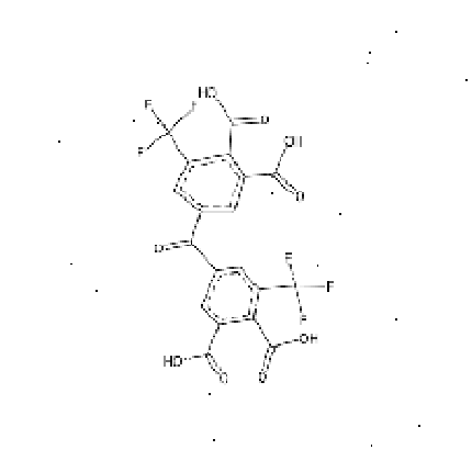 O=C(c1cc(C(=O)O)c(C(=O)O)c(C(F)(F)F)c1)c1cc(C(=O)O)c(C(=O)O)c(C(F)(F)F)c1